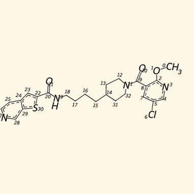 COc1ncc(Cl)cc1C(=O)N1CCC(CCCCNC(=O)c2cc3ccncc3s2)CC1